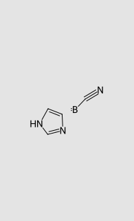 [B]C#N.c1c[nH]cn1